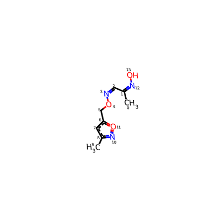 CC(/C=N\OCc1cc(C)no1)=N/O